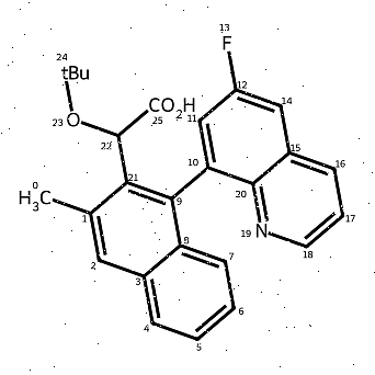 Cc1cc2ccccc2c(-c2cc(F)cc3cccnc23)c1C(OC(C)(C)C)C(=O)O